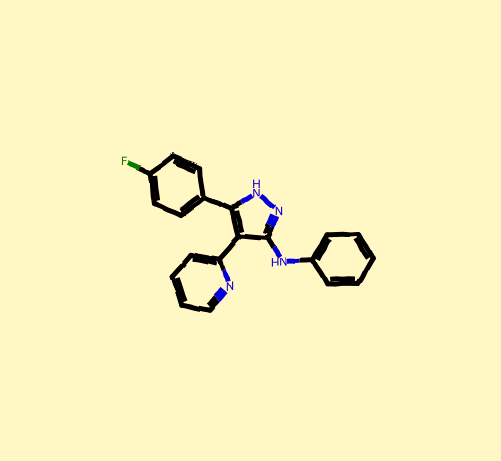 Fc1ccc(-c2[nH]nc(Nc3ccccc3)c2-c2ccccn2)cc1